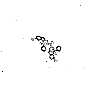 O=[PH](OCc1cc2ccc(Br)cc2n1S(=O)(=O)c1ccccc1)OCc1cc2ccc(Br)cc2n1S(=O)(=O)c1ccccc1